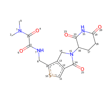 CN(C)C(=O)C(=O)NCc1scc2c1CN(C1CCC(=O)NC1=O)C2=O